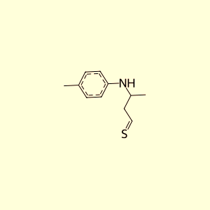 Cc1ccc(NC(C)CC=S)cc1